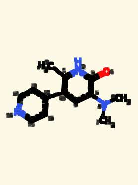 Cc1[nH]c(=O)c(N(C)C)cc1-c1ccncc1